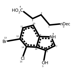 CCCCCCCCCCCCCC(=O)O.Oc1c[nH]c2ccc(Br)c(Cl)c12